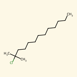 CCCCCCCCCCCC(C)(C)Cl